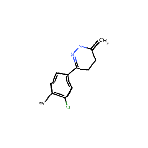 C=C1CCC(c2ccc(C(C)C)c(Cl)c2)=NN1